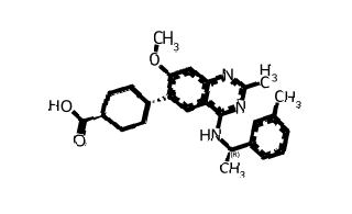 COc1cc2nc(C)nc(N[C@H](C)c3cccc(C)c3)c2cc1[C@H]1CC[C@H](C(=O)O)CC1